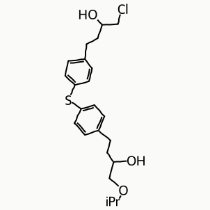 CC(C)OCC(O)CCc1ccc(Sc2ccc(CCC(O)CCl)cc2)cc1